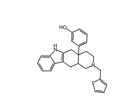 Oc1cccc(C23CCN(Cc4cccs4)CC2Cc2c([nH]c4ccccc24)C3)c1